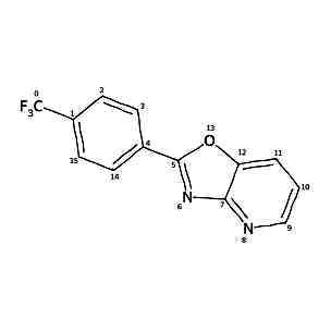 FC(F)(F)c1ccc(-c2nc3ncccc3o2)cc1